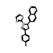 Cc1ccc(C2=NN(c3nccs3)C(c3ccc4ccccc4c3)C2)cc1